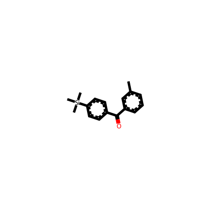 Cc1cccc(C(=O)c2ccc([Si](C)(C)C)cc2)c1